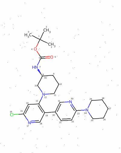 CC(C)(C)OC(=O)N[C@H]1CCCN(c2cc(Cl)ncc2-c2ccc(N3CCCCC3)nc2)C1